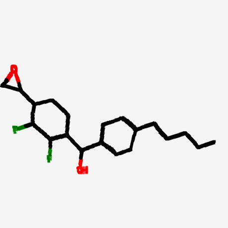 CCCCCC1CCC(C(O)C2CCC(C3CO3)C(F)C2F)CC1